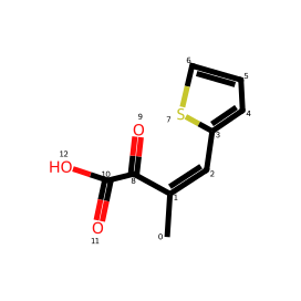 CC(=Cc1cccs1)C(=O)C(=O)O